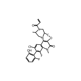 C=CC(=O)N1CC2COc3c(c4cc(Cl)c(-c5c(O)cccc5F)c(F)c4n(C)c3=O)N2CC1C